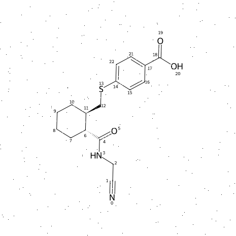 N#CCNC(=O)[C@@H]1CCCC[C@H]1CSc1ccc(C(=O)O)cc1